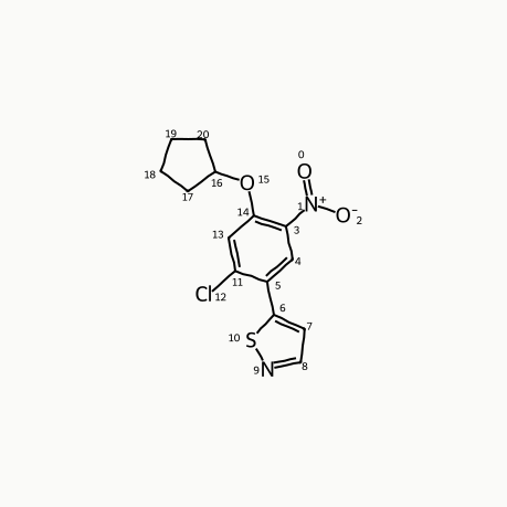 O=[N+]([O-])c1cc(-c2ccns2)c(Cl)cc1OC1CCCC1